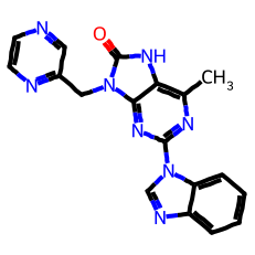 Cc1nc(-n2cnc3ccccc32)nc2c1[nH]c(=O)n2Cc1cnccn1